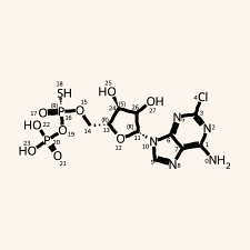 Nc1nc(Cl)nc2c1ncn2[C@@H]1O[C@H](CO[P@@](=O)(S)OP(=O)(O)O)[C@@H](O)C1O